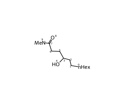 CCCCCCCCC(O)CCC(=O)NC